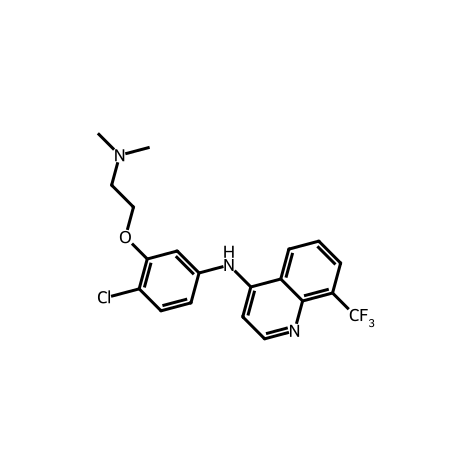 CN(C)CCOc1cc(Nc2ccnc3c(C(F)(F)F)cccc23)ccc1Cl